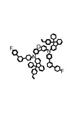 C=Cc1ccc(C2(C3CC=CCC3)C3=C(C=CCC3)C3C=CC(N(C4=CC5c6cc(N(C7=CCC(C8=CC=CC(c9ccc(F)cc9)C8)CC7)C7C=CC8C9C=CC=CC9C(C9=CCC(C=C)C=C9)(C9=CC=CCC9)C8C7)ccc6OC5C=C4)c4ccc(C5=CC(C6=CCC(F)CC6)=CCC5)cc4)=CC32)cc1